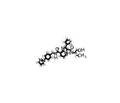 CC[C@@H](CO)NC(=O)c1c(-c2ccsc2)nc2c(C(=O)NCc3ccc(-n4cccn4)cc3)cccn12